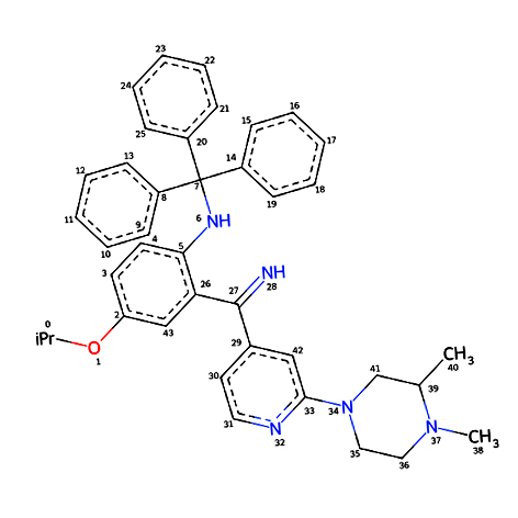 CC(C)Oc1ccc(NC(c2ccccc2)(c2ccccc2)c2ccccc2)c(C(=N)c2ccnc(N3CCN(C)C(C)C3)c2)c1